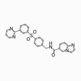 O=C(NCc1ccc(S(=O)(=O)c2cccc(-c3ncccn3)c2)cc1)c1ccc2nccn2c1